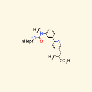 CCCCCCCNC(=O)N(C)c1cccc(-c2ccc(CC(C)C(=O)O)cn2)c1